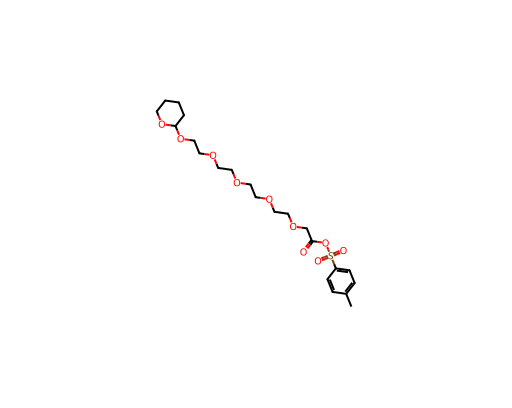 Cc1ccc(S(=O)(=O)OC(=O)COCCOCCOCCOCCOC2CCCCO2)cc1